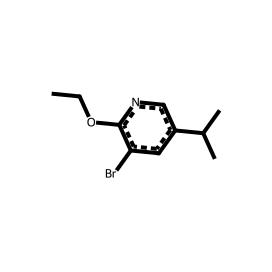 CCOc1ncc(C(C)C)cc1Br